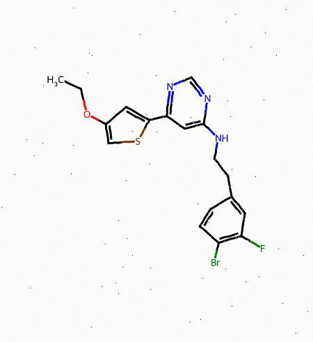 CCOc1csc(-c2cc(NCCc3ccc(Br)c(F)c3)ncn2)c1